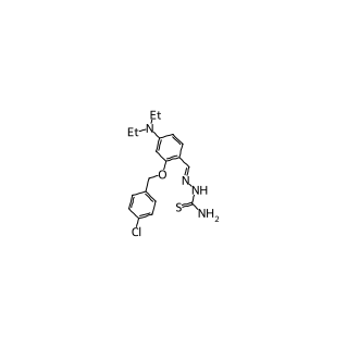 CCN(CC)c1ccc(C=NNC(N)=S)c(OCc2ccc(Cl)cc2)c1